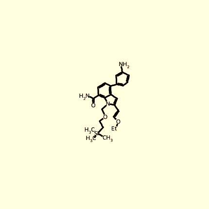 CCOC=Cc1cc2c(-c3cccc(N)c3)ccc(C(N)=O)c2n1COCC[Si](C)(C)C